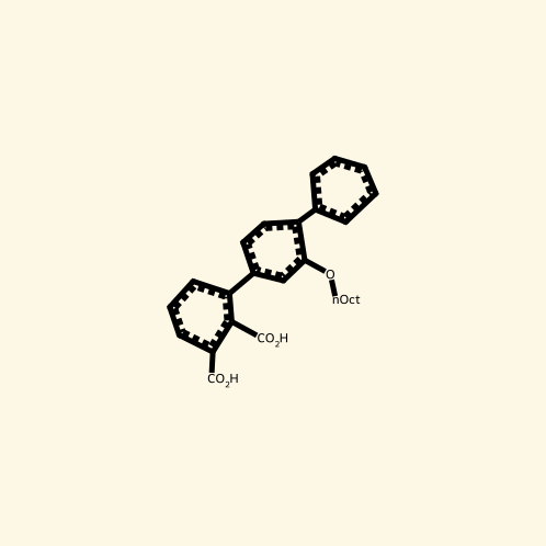 CCCCCCCCOc1cc(-c2cccc(C(=O)O)c2C(=O)O)ccc1-c1ccccc1